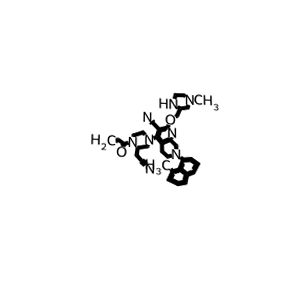 C=CC(=O)N1CCN(c2c(C#N)c(OCC3CN(C)CCN3)nc3c2CCN(c2cccc4cccc(C)c24)C3)CC1CC#N